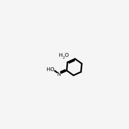 O.ON=C1C=CCCC1